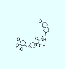 COc1ccc2ccc(CCNC(=O)CN3CCN(Cc4ccc(OC)c(OC)c4OC)CC3)cc2c1.Cl